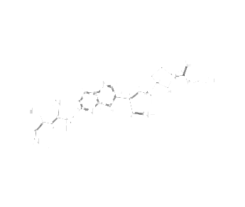 CC(C)C(=C/N)/C=C(\N)Nc1ccc2ncc(/C(C=N)=C/NC3CCN(C(=O)OC(C)(C)C)C3)cc2n1